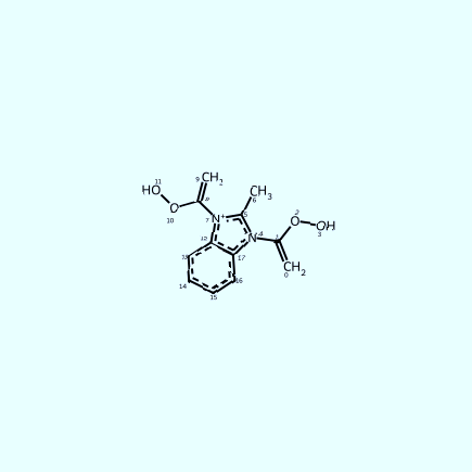 C=C(OO)n1c(C)[n+](C(=C)OO)c2ccccc21